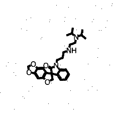 CC(C)N(CCNCCCN1C(=O)C2(COc3cc4c(cc32)OCO4)c2ccccc21)C(C)C